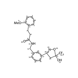 COc1ccccc1CCC(=O)NCc1cccc(C2=NOC(O)(C(F)(F)F)C2)c1